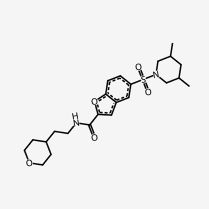 CC1CC(C)CN(S(=O)(=O)c2ccc3oc(C(=O)NCCC4CCOCC4)cc3c2)C1